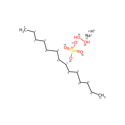 CCCCCCCCCCCCCC.O=S(=O)([O-])[O-].OO.[H+].[Na+]